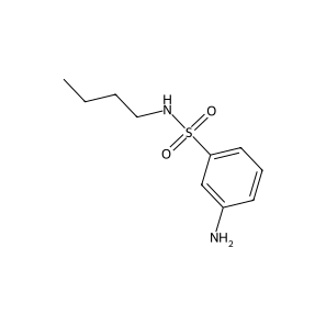 CCCCNS(=O)(=O)c1cccc(N)c1